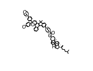 C=C(CCCC(C)C)[C@H]1CC[C@H]2[C@@H]3CC=C4C[C@@H](OC(=O)N5CCN(c6ccc7c(c6)-c6c(c8c(c9ccccc69)OC(c6ccc(OC)cc6)(c6ccc(N9CCOCC9)cc6)C=C8)C7(C)C)CC5)CC[C@]4(C)[C@H]3CC[C@@]12C